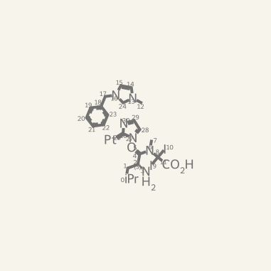 CC(C)C[C@H](N)C(=O)N(C)C(I)(I)C(=O)O.CN1C=CN(Cc2ccccc2)C1.[Pt]=[C]1N=CC=N1